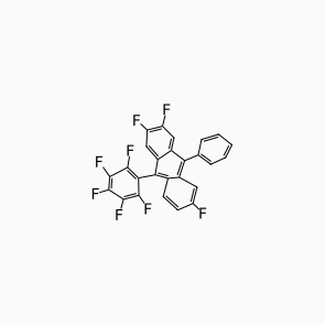 Fc1ccc2c(-c3c(F)c(F)c(F)c(F)c3F)c3cc(F)c(F)cc3c(-c3ccccc3)c2c1